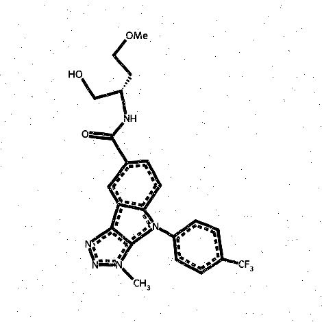 COCC[C@@H](CO)NC(=O)c1ccc2c(c1)c1nnn(C)c1n2-c1ccc(C(F)(F)F)cc1